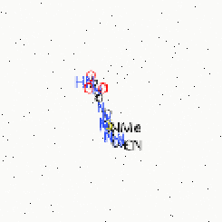 CNc1cc(-c2ccc3cc(C#N)cnn23)ncc1-c1nnc(N2CCCC3(CN(Cc4ccc5c(c4)CN(C4CCC(=O)NC4=O)C5=O)C3)C2)s1